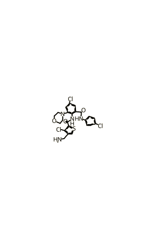 CNCc1csc(C(=O)Nc2c(C(=O)Nc3ccc(Cl)cc3)cc(Cl)cc2N2CCOCC2)c1Cl